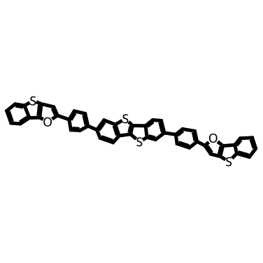 c1ccc2c(c1)sc1cc(-c3ccc(-c4ccc5c(c4)sc4c6ccc(-c7ccc(-c8cc9sc%10ccccc%10c9o8)cc7)cc6sc54)cc3)oc12